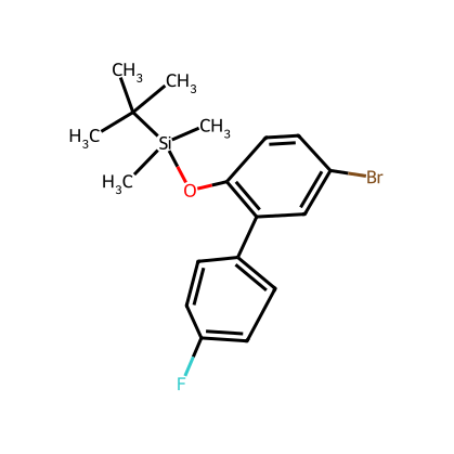 CC(C)(C)[Si](C)(C)Oc1ccc(Br)cc1-c1ccc(F)cc1